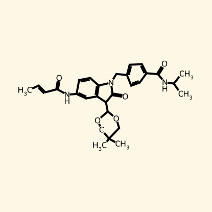 C/C=C/C(=O)Nc1ccc2c(c1)C(C1OCC(C)(C)CO1)C(=O)N2Cc1ccc(C(=O)NC(C)C)cc1